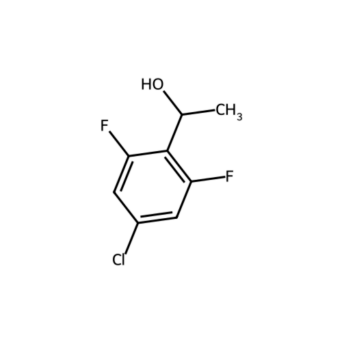 CC(O)c1c(F)cc(Cl)cc1F